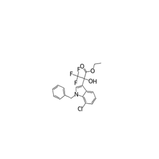 CCOC(=O)C(O)(c1cn(Cc2ccccc2)c2c(Cl)cccc12)C(F)(F)F